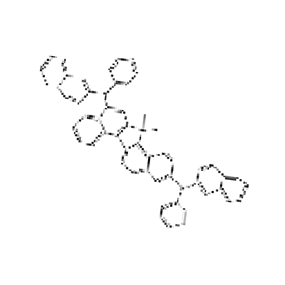 CC1(C)c2cc(N(c3ccccc3)c3ccc4ccccc4c3)c3ccccc3c2-c2ccc3cc(N(c4ccccc4)c4ccc5ccccc5c4)ccc3c21